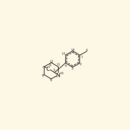 Cc1ccc(C2CC3CCN2CC3)cc1